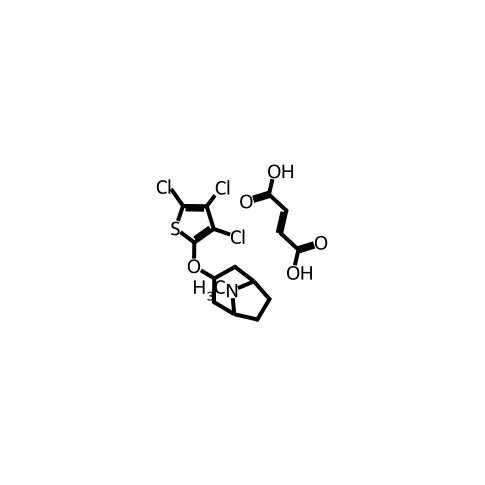 CN1C2CCC1CC(Oc1sc(Cl)c(Cl)c1Cl)C2.O=C(O)/C=C/C(=O)O